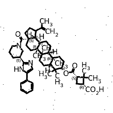 C=C(C)C1CC[C@]2(C(=O)N3CCC[C@H](c4ncc(-c5ccccc5)[nH]4)C3)CC[C@]3(C)[C@H](CC[C@@H]4[C@@]5(C)CC[C@H](OC(=O)[C@H]6C[C@@H](C(=O)O)C6(C)C)C(C)(C)[C@@H]5CC[C@]43C)[C@@H]12